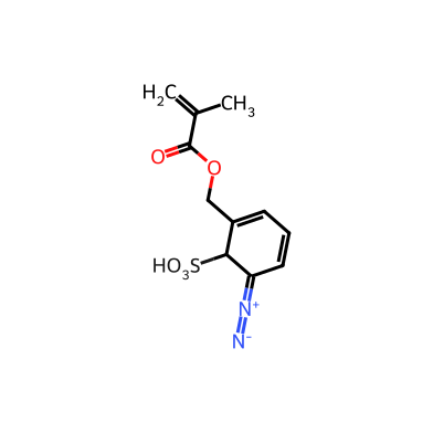 C=C(C)C(=O)OCC1=CC=CC(=[N+]=[N-])C1S(=O)(=O)O